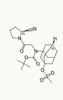 CC(C)(C)OC(=O)N(CC(=O)N1CCC[C@H]1C#N)C12CC3C[C@H](CC(OS(C)(=O)=O)(C3)C1)C2